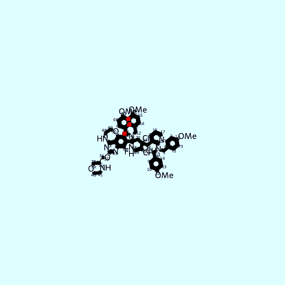 COc1ccc(CN(Cc2ccc(OC)cc2)c2ncccc2[C@H](C)C2(C)CC(c3c(Cl)c4c5c(nc(OC[C@H]6COCCN6)nc5c3F)NCCO4)(N(Cc3ccc(OC)cc3)Cc3ccc(OC)cc3)NC=C2C(F)(F)F)cc1